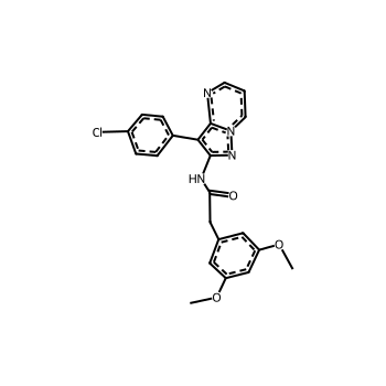 COc1cc(CC(=O)Nc2nn3cccnc3c2-c2ccc(Cl)cc2)cc(OC)c1